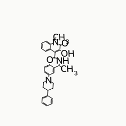 CC(NC(=O)c1c(O)c(=O)n(C)c2ccccc12)c1cccc(N2CCC(c3ccccc3)CC2)c1